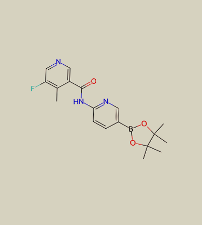 Cc1c(F)cncc1C(=O)Nc1ccc(B2OC(C)(C)C(C)(C)O2)cn1